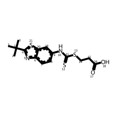 CC(C)(C)c1nc2ccc(NC(=S)SCCC(=O)O)cc2s1